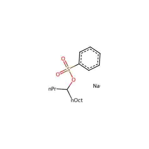 CCCCCCCCC(CCC)OS(=O)(=O)c1ccccc1.[Na]